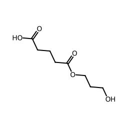 O=C(O)CCCC(=O)OCCCO